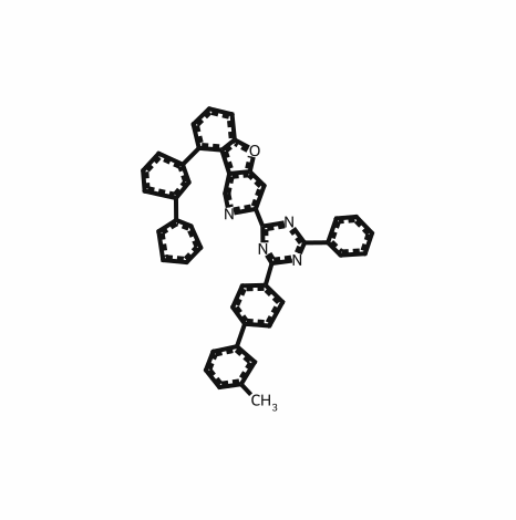 Cc1cccc(-c2ccc(-c3nc(-c4ccccc4)nc(-c4cc5oc6cccc(-c7cccc(-c8ccccc8)c7)c6c5cn4)n3)cc2)c1